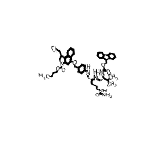 CCCCOC(=O)N1CC(CCl)c2c1cc(OCc1ccc(NC[C@@H](CCCNC(N)=O)NC[C@H](NC(=O)OCC3c4ccccc4-c4ccccc43)C(C)C)cc1)c1ccccc21